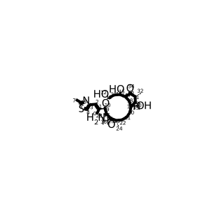 C/C(=C\c1csc(C)n1)[C@H]1OC(O)C[C@H](O)[C@]2(C)C[C@@H](CCC[C@@]3(C)O[C@H]3C1N)[C@H](O)[C@@H](C)C2=O